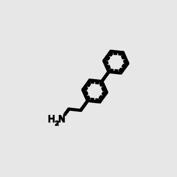 NCCc1ccc(-c2ccccc2)cc1